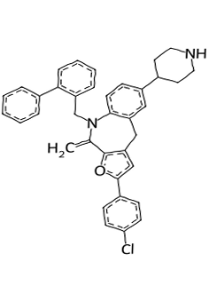 C=C1c2oc(-c3ccc(Cl)cc3)cc2Cc2cc(C3CCNCC3)ccc2N1Cc1ccccc1-c1ccccc1